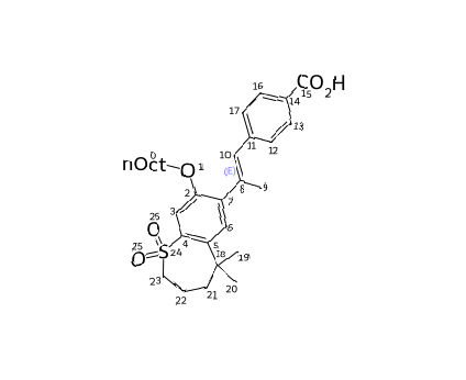 CCCCCCCCOc1cc2c(cc1/C(C)=C/c1ccc(C(=O)O)cc1)C(C)(C)CCCS2(=O)=O